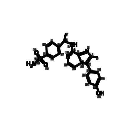 Cc1nc2c(NC(C)c3ccc(S(N)(=O)=O)cc3)nccn2c1-c1ccc(O)cc1